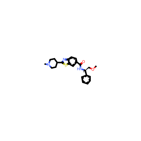 COC[C@H](NC(=O)c1ccc2nc(C3CCN(C)CC3)sc2c1)c1ccccc1